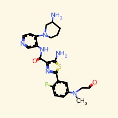 CN(CC=O)c1ccc(F)c(-c2nc(C(=O)Nc3cnccc3N3CCC[C@H](N)C3)c(N)s2)c1